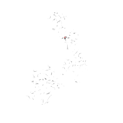 CC(C)NC(=N)NC(=N)Nc1ccc(Cl)cc1.COc1cc(NC(C)CCCN)c2ncccc2c1.COc1ncnc(NS(=O)(=O)c2ccc(N)cc2)c1OC.C[C@@H]1CC[C@H]2[C@@H](C)C(=O)O[C@@H]3O[C@@]4(C)CC[C@@H]1[C@]32OO4.O=C1C(O)=C([C@H]2CC[C@H](c3ccc(Cl)cc3)CC2)C(=O)c2ccccc21.OC(c1cc(C(F)(F)F)nc2c(C(F)(F)F)cccc12)C1CCCCN1.c1ccncc1